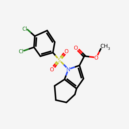 COC(=O)c1cc2c(n1S(=O)(=O)c1ccc(Cl)c(Cl)c1)CCCC2